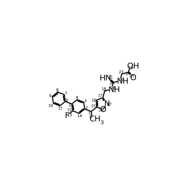 CC(c1ccc(-c2ccccc2)c(F)c1)c1cc(CNC(=N)NCC(=O)O)no1